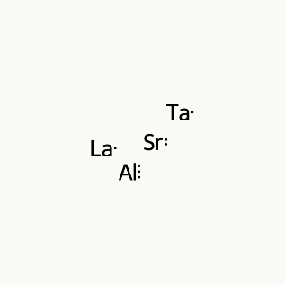 [Al].[La].[Sr].[Ta]